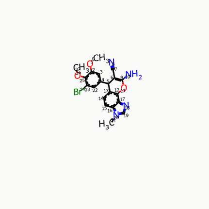 COc1cc(C2C(C#N)=C(N)Oc3c2ccc2c3ncn2C)cc(Br)c1OC